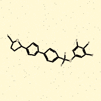 Fc1cc(OC(F)(F)c2ccc(-c3ccc(C4CCC(I)O4)cc3)cc2)cc(F)c1F